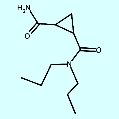 CCCN(CCC)C(=O)C1CC1C(N)=O